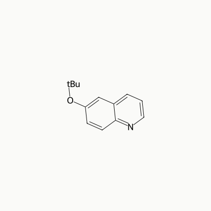 CC(C)(C)Oc1ccc2ncccc2c1